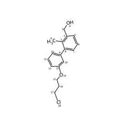 Cc1c(CO)cccc1-c1cccc(OCCCCl)c1